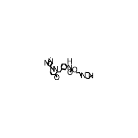 CN1CCN(CCCOC(=O)Nc2cccc(Cc3nn(-c4cnn(C)c4)ccc3=O)c2)CC1